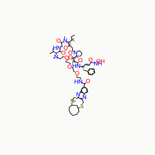 CC[C@H](C)[C@@H]([C@@H](CC(=O)N1CCC[C@H]1[C@H](OC)[C@@H](C)C(=O)N[C@H](/C=C/C(=O)NO)Cc1ccccc1)OC)N(C)C(=O)CNC(=O)C(C(C)C)N(C)CCOCCOCCOCCNC(=O)c1ccc2nc3c(nc2c1)CSC1CCCCCCC(C1)SC3